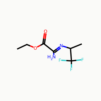 CCOC(=O)/C(N)=N/C(C)C(F)(F)F